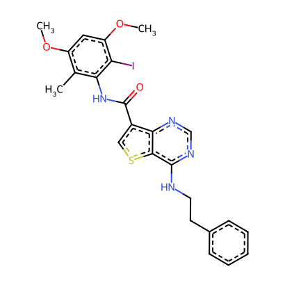 COc1cc(OC)c(I)c(NC(=O)c2csc3c(NCCc4ccccc4)ncnc23)c1C